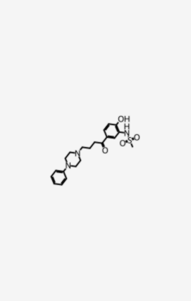 CS(=O)(=O)Nc1cc(C(=O)CCCN2CCN(c3ccccc3)CC2)ccc1O